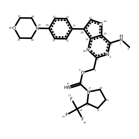 CNc1nc(COC(=N)N2CCCC2C(F)(F)F)nc2c(-c3ccc(N4CCOCC4)cc3)csc12